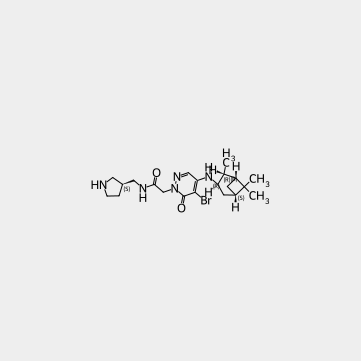 C[C@@H]1[C@H]2C[C@@H](C[C@H]1Nc1cnn(CC(=O)NC[C@H]3CCNC3)c(=O)c1Br)C2(C)C